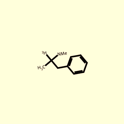 [2H]C(C)(Cc1ccccc1)NC